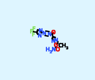 C[C@@H](Cn1cc(C(=O)N2CCN(c3ncc(C(F)(F)F)cn3)CC2)cn1)OC(N)=O